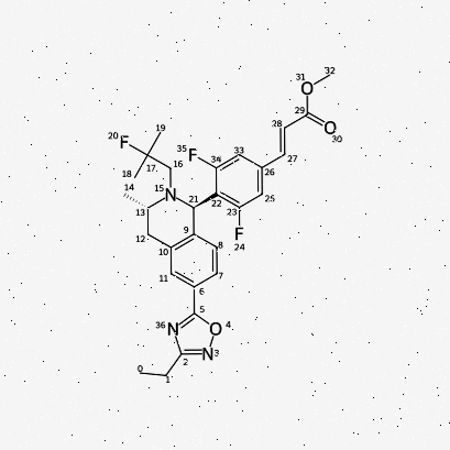 CCc1noc(-c2ccc3c(c2)C[C@H](C)N(CC(C)(C)F)[C@H]3c2c(F)cc(/C=C/C(=O)OC)cc2F)n1